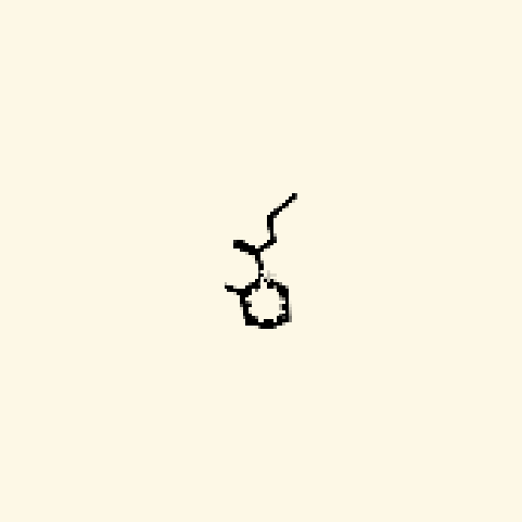 C=C(CCC)[n+]1ccccc1C